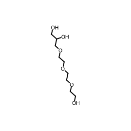 OCCOCCOCCOCC(O)CO